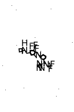 Cn1cnnc1[C@@H](c1cccc(N2Cc3cc(CNC4(C)CCC4)cc(C(F)(F)F)c3C2)c1)N1CC(F)(F)C1